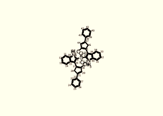 CC1=C(c2[c]([Ti]([CH3])([CH3])[c]3[nH]c4ccccc4c3C3=C(C)C=C(c4ccccc4)C3)[nH]c3ccccc23)CC(c2ccccc2)=C1